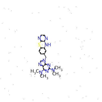 CN(C)c1nc(N(C)C)c2ncn(Cc3ccc4c(c3)Nc3nccnc3S4)c2n1